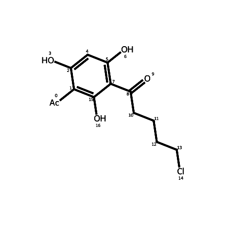 CC(=O)c1c(O)cc(O)c(C(=O)CCCCCl)c1O